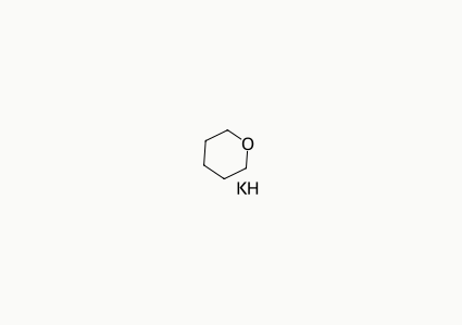 C1CCOCC1.[KH]